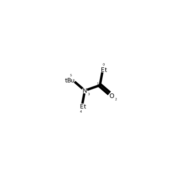 [CH2]CC(=O)N(CC)C(C)(C)C